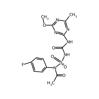 COc1nc(C)nc(NC(=O)NS(=O)(=O)N(C(C)=O)c2ccc(F)cc2)n1